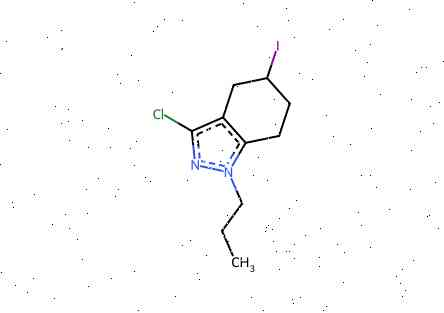 CCCn1nc(Cl)c2c1CCC(I)C2